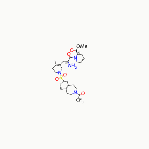 COC(=O)[C@H]1CC=CCN1C(=O)[C@@H](N)CC1=C(C)CCN(S(=O)(=O)c2ccc3c(c2)CCN(C(=O)C(F)(F)F)CC3)C1